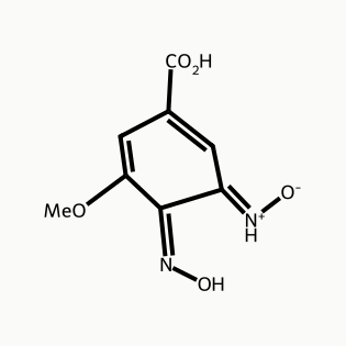 COC1=CC(C(=O)O)=CC(=[NH+]\[O-])/C1=N\O